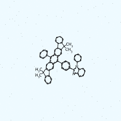 CC1(C)c2ccccc2-c2cc3c(-c4ccc(-c5nc6ccccc6n5-c5ccccc5)cc4)c4cc5c(cc4c(-c4ccccc4)c3cc21)-c1ccccc1C5(C)C